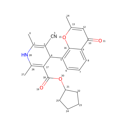 CC1=C(C#N)C(c2cccc3c(=O)cc(C)oc23)C(C(=O)OC2CCCC2)=C(C)N1